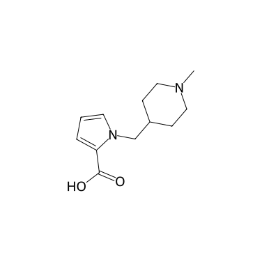 CN1CCC(Cn2cccc2C(=O)O)CC1